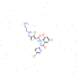 COc1cc(Cl)cc(C(=O)Nc2ccc(Cl)cn2)c1NC(=O)c1scc(CNCCCN)c1Cl